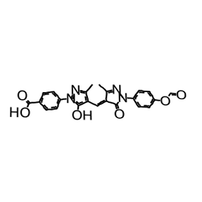 CC1=NN(c2ccc(OC=O)cc2)C(=O)C1=Cc1c(C)nn(-c2ccc(C(=O)O)cc2)c1O